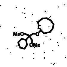 COCC(COC)(COC1CCCCCCCCC1)C1CCCCC1